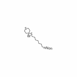 CCCCCCCCCCCCCCCCSC1(Br)CCSCC1